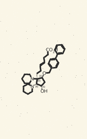 O=C(O)CCC=CCC[C@]1(N2CCCCC2)[C@@H](OCc2ccc(-c3ccccc3)cc2)C[C@H](O)[C@@H]1N1CCCCC1